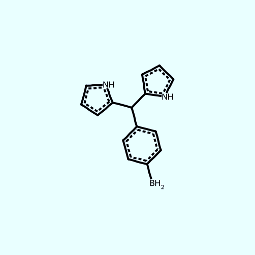 Bc1ccc(C(c2ccc[nH]2)c2ccc[nH]2)cc1